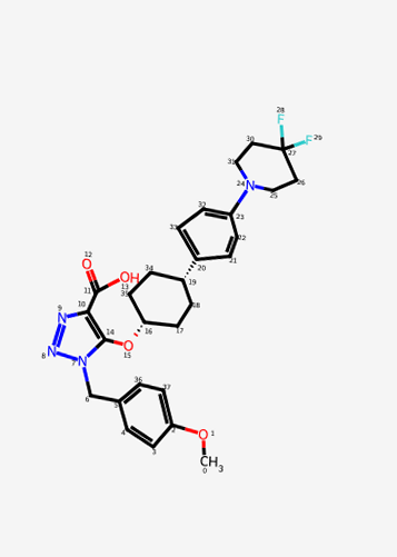 COc1ccc(Cn2nnc(C(=O)O)c2O[C@H]2CC[C@@H](c3ccc(N4CCC(F)(F)CC4)cc3)CC2)cc1